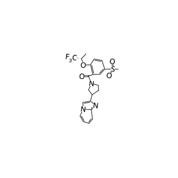 C[C@H](Oc1ccc(S(C)(=O)=O)cc1C(=O)N1CCC(c2cn3ccccc3n2)C1)C(F)(F)F